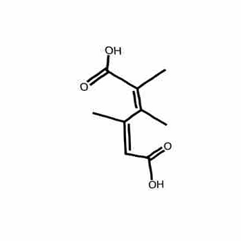 CC(=CC(=O)O)C(C)=C(C)C(=O)O